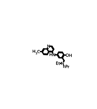 CCCN(CC)Cc1cc(Nc2ccnc3cc(C)ccc23)ccc1O